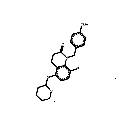 COc1ccc(CN2C(=O)CCc3c(OC4CCCCO4)ccc(F)c32)cc1